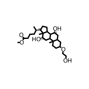 COC(=O)CCCC(C)[C@H]1CCC2C3C(C[C@H](O)C21C)C1(C)CCC(OCCO)CC1C[C@H]3O